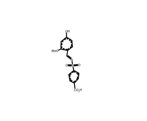 COc1cc(O)ccc1C=NS(=O)(=O)c1ccc(C(=O)O)cc1